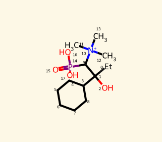 CCC(O)(C1CCCCC1)C([N+](C)(C)C)P(=O)(O)O